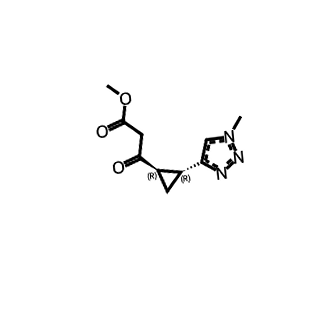 COC(=O)CC(=O)[C@@H]1C[C@H]1c1cn(C)nn1